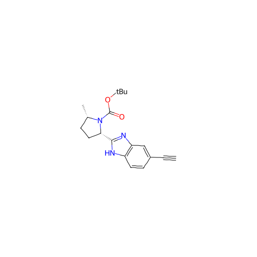 C#Cc1ccc2[nH]c([C@@H]3CC[C@H](C)N3C(=O)OC(C)(C)C)nc2c1